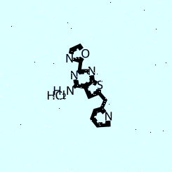 Cl.Nc1nc(-c2ncco2)nc2sc(Cc3ccccn3)cc12